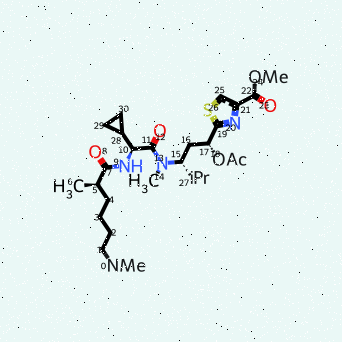 CNCCCC[C@@H](C)C(=O)N[C@H](C(=O)N(C)[C@H](C[C@@H](OC(C)=O)c1nc(C(=O)OC)cs1)C(C)C)C1CC1